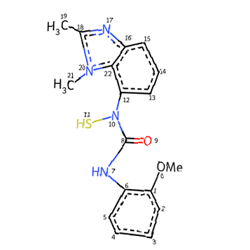 COc1ccccc1NC(=O)N(S)c1cccc2nc(C)n(C)c12